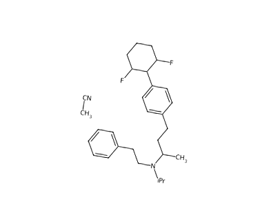 CC#N.CC(C)N(CCc1ccccc1)C(C)CCc1ccc(C2C(F)CCCC2F)cc1